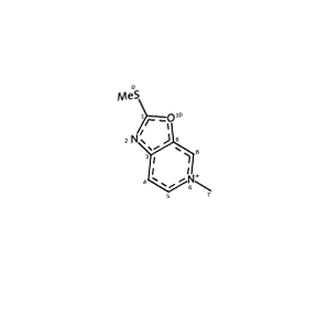 CSc1nc2cc[n+](C)cc2o1